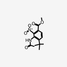 COC(=O)c1ccc(C(C)(C)C)c(NC(C)=O)c1[N+](=O)[O-]